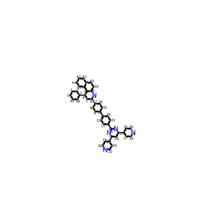 c1ccc(-c2cc(-c3ccc(-c4ccc(-c5nc(-c6ccncc6)cc(-c6ccncc6)n5)cc4)cc3)nc3ccc4ccccc4c23)cc1